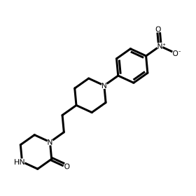 O=C1CNCCN1CCC1CCN(c2ccc([N+](=O)[O-])cc2)CC1